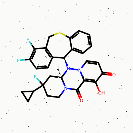 O=C1c2c(O)c(=O)ccn2N([C@@H]2c3ccccc3SCc3c2ccc(F)c3F)[C@@H]2CC(F)(C3CC3)CCN12